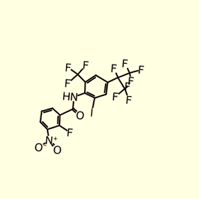 O=C(Nc1c(I)cc(C(F)(C(F)(F)F)C(F)(F)F)cc1C(F)(F)F)c1cccc([N+](=O)[O-])c1F